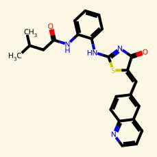 CC(C)CC(=O)Nc1ccccc1NC1=NC(=O)/C(=C/c2ccc3ncccc3c2)S1